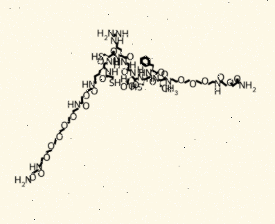 CC[C@H](NC(=O)[C@H](Cc1ccccc1)NC(=O)[C@H](CS)NC(=O)[C@H](CC(=O)O)NC(=O)CNC(=O)[C@H](CCCNC(=N)N)NC(=O)[C@H](CS)NC(=O)[C@H](CCCCNC(=O)COCC(=O)NCCOCCOCCOCCOCCOCCNC(=O)CON)NC(=O)CS)C(=O)NCCOCCOCCOCCNC(=O)COCC(N)=O